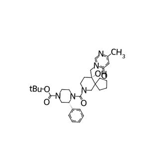 Cc1cc(=O)n(C[C@]2(O)CCN(C(=O)N3CCN(C(=O)OC(C)(C)C)C[C@H]3c3ccccc3)CC23CCCC3)cn1